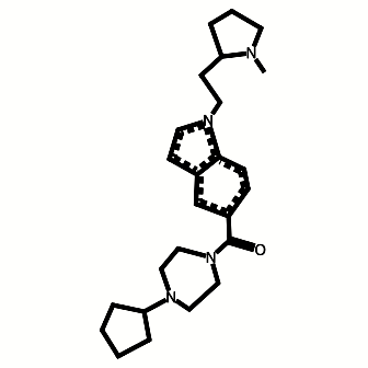 CN1CCCC1CCn1ccc2cc(C(=O)N3CCN(C4CCCC4)CC3)ccc21